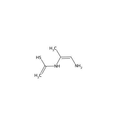 C=C(S)N/C(C)=C\N